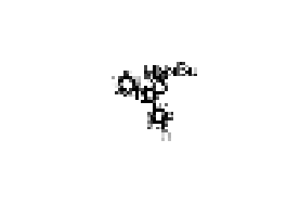 CCCCNc1ncc2c(-c3ccc(C)cc3)cn(C3CCCCC3)c2n1